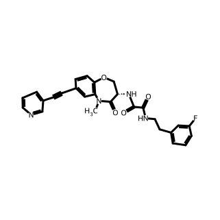 CN1C(=O)[C@@H](NC(=O)C(=O)NCCc2cccc(F)c2)COc2ccc(C#Cc3cccnc3)cc21